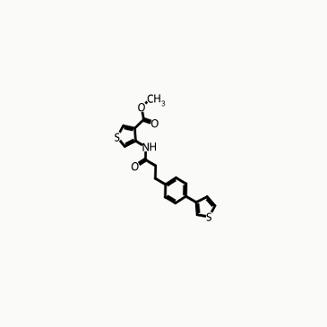 COC(=O)c1cscc1NC(=O)CCc1ccc(-c2ccsc2)cc1